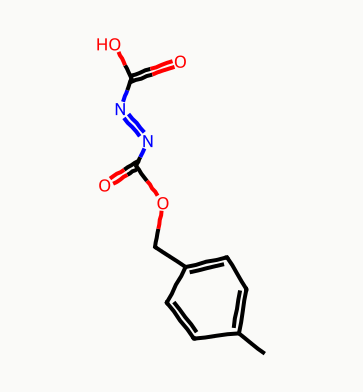 Cc1ccc(COC(=O)N=NC(=O)O)cc1